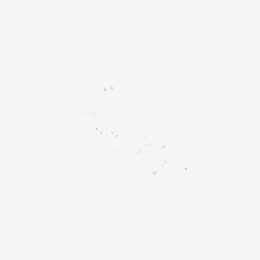 CCCCOC(=O)NNCc1ccc(Br)cc1